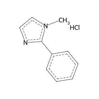 Cl.Cn1ccnc1-c1ccccc1